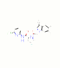 CC(=O)c1cn(CC(=O)N2C[C@H](F)C[C@H]2C(=O)Nc2cccc(Cl)n2)c2cc(C)c(C)cc12